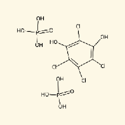 O=P(O)(O)O.O=P(O)(O)O.Oc1c(Cl)c(O)c(Cl)c(Cl)c1Cl